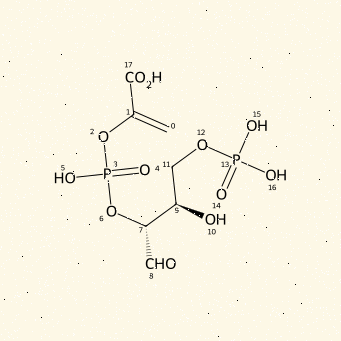 C=C(OP(=O)(O)O[C@@H](C=O)[C@H](O)COP(=O)(O)O)C(=O)O